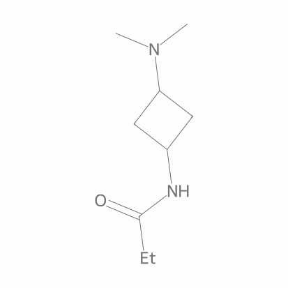 CCC(=O)NC1CC(N(C)C)C1